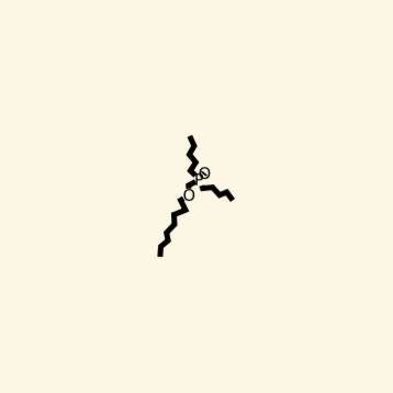 CCCCCCCCOCP(=O)(CCCCC)CCCCC